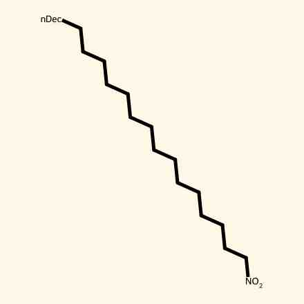 CCCCCCCCCCCCCCCCCCCCCCCCC[N+](=O)[O-]